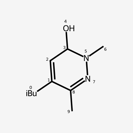 CCC(C)C1=CC(O)N(C)N=C1C